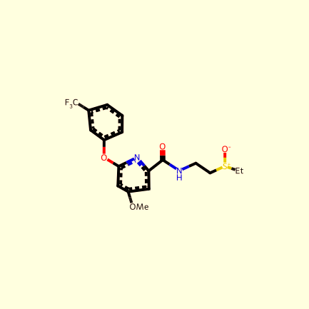 CC[S+]([O-])CCNC(=O)c1cc(OC)cc(Oc2cccc(C(F)(F)F)c2)n1